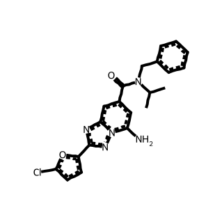 CC(C)N(Cc1ccccc1)C(=O)c1cc(N)n2nc(-c3ccc(Cl)o3)nc2c1